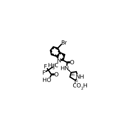 Cn1c(C(=O)N[C@H]2CN[C@H](C(=O)O)C2)cc2c(Br)cccc21.O=C(O)C(F)(F)F